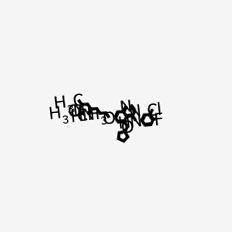 CC(CC(=N)CCCOc1cc(OC2CCCC2)c2c(Nc3ccc(F)c(Cl)c3)ncnc2c1)N(C)C